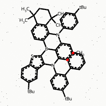 Cc1cc2c3c(c1)N(c1ccc(C(C)(C)C)cc1-c1ccccc1)c1c(sc4ccc(C(C)(C)C)cc14)B3c1ccc3c(c1N2c1ccc(C(C)(C)C)cc1)C(C)(C)CCC3(C)C